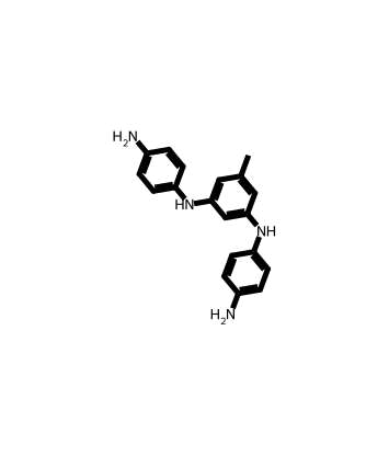 Cc1cc(Nc2ccc(N)cc2)cc(Nc2ccc(N)cc2)c1